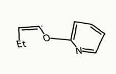 CC/C=[C]\Oc1ccccn1